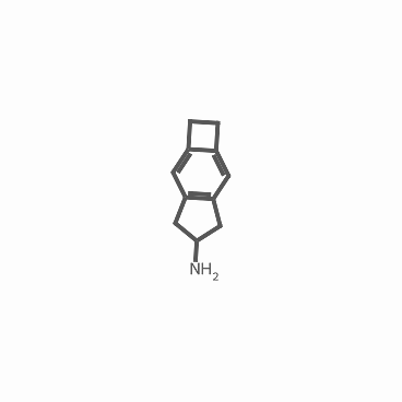 NC1Cc2cc3c(cc2C1)CC3